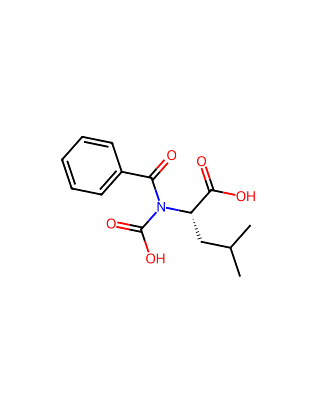 CC(C)C[C@@H](C(=O)O)N(C(=O)O)C(=O)c1ccccc1